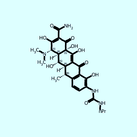 CCCNC(=O)Nc1ccc2c(c1O)C(=O)C1=C(O)[C@]3(O)C(=O)C(C(N)=O)=C(O)[C@@H](N(C)C)[C@@H]3[C@@H](O)[C@@H]1[C@H]2C